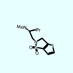 CN[C@H](CN1Cc2sccc2S1(=O)=O)C(C)C